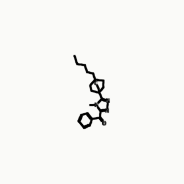 CCCCCC12CCC(c3nnc(C(=O)c4ccccc4)n3C)(CC1)CC2